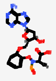 CC(C(=O)O)N(Oc1ccccc1OC[C@@H]1O[C@H](n2cnc3c(N)ncnc32)C[C@H]1O)P=O